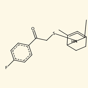 CC1=C=C2CCC1C(SCC(=O)c1ccc(F)cc1)NC2C